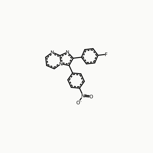 O=[N+]([O-])c1ccc(-c2c(-c3ccc(F)cc3)nc3ncccn23)cc1